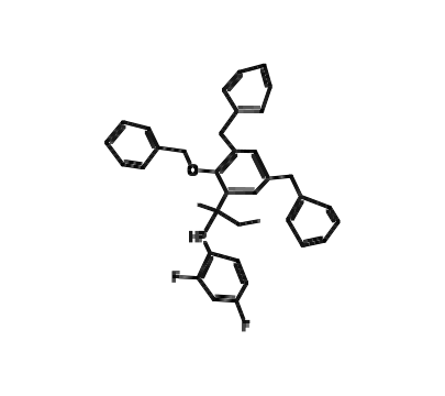 CCC(C)(Pc1ccc(F)cc1F)c1cc(Cc2ccccc2)cc(Cc2ccccc2)c1OCc1ccccc1